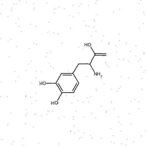 C=C(O)C(N)Cc1ccc(O)c(O)c1